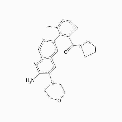 Cc1cccc(C(=O)N2CCCC2)c1-c1ccc2nc(N)c(N3CCOCC3)cc2c1